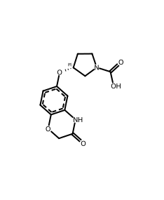 O=C1COc2ccc(O[C@@H]3CCN(C(=O)O)C3)cc2N1